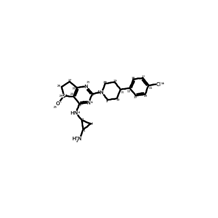 NC1CC1Nc1nc(N2CCC(c3ccc(Cl)cc3)CC2)nc2c1[S+]([O-])CC2